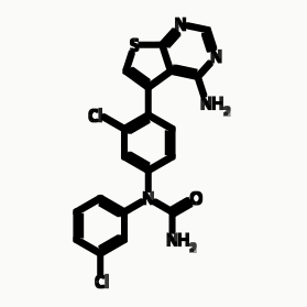 NC(=O)N(c1cccc(Cl)c1)c1ccc(-c2csc3ncnc(N)c23)c(Cl)c1